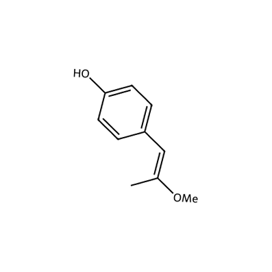 COC(C)=Cc1ccc(O)cc1